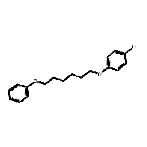 Clc1ccc(OCCCCCCOc2[c]cccc2)cc1